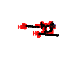 CCC(=O)O[C@H]1[C@H](O[C@@H]2[C@@H](C)[C@H](O[C@H]3C[C@@](C)(OC)[C@@H](O)[C@H](C)O3)[C@@H](C)C(=O)O[C@H](CC)[C@@](C)(O)[C@H](O)[C@@H](C)C(=O)[C@H](C)C[C@@]2(C)O)O[C@H](C)C[C@@H]1N(C)C.CCCCCCCCCCCCCCCCCC(=O)O.CCCCCCCCCCCCOS(=O)(=O)O